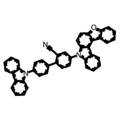 N#Cc1cc(-n2c3ccccc3c3c4c(ccc32)oc2ccccc24)ccc1-c1ccc(-n2c3ccccc3c3ccccc32)cc1